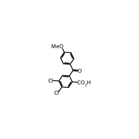 COc1ccc(C(=O)c2cc(Cl)c(Cl)cc2C(=O)O)cc1